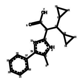 Cc1[nH]c(C(C(=O)O)C(C2CC2)C2CC2)nc1-c1ccccc1